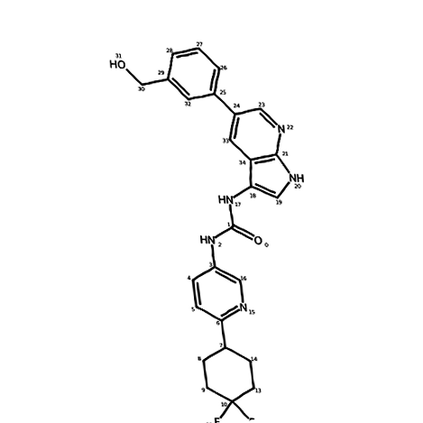 O=C(Nc1ccc(C2CCC(F)(F)CC2)nc1)Nc1c[nH]c2ncc(-c3cccc(CO)c3)cc12